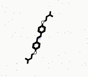 CC(C)CCOc1ccc(/C=C/c2ccc(OCCC(C)C)cc2)cc1